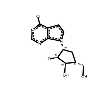 OC[C@H]1C[C@@H](n2ccc3c(Cl)ncnc32)[C@H](F)[C@@H]1O